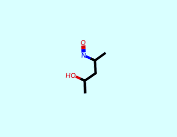 CC(O)CC(C)N=O